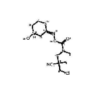 CN(SC(C)(C#N)CCl)C(=O)ON=C1C[S+]([O-])CCS1